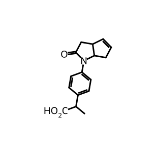 CC(C(=O)O)c1ccc(N2C(=O)CC3C=CCC32)cc1